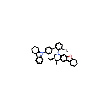 C=C(C)c1cc2c3c(oc2cc1N(C/C=C\C)c1c(C#N)cccc1-c1ccc(-n2c4c(c5ccccc52)CCCC4)cc1)CCC=C3